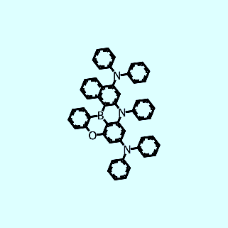 c1ccc(N(c2ccccc2)c2cc3c4c(c2)N(c2ccccc2)c2cc(N(c5ccccc5)c5ccccc5)c5ccccc5c2B4c2ccccc2O3)cc1